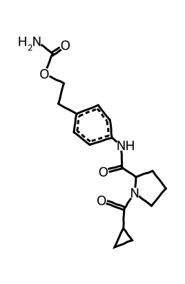 NC(=O)OCCc1ccc(NC(=O)C2CCCN2C(=O)C2CC2)cc1